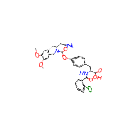 COc1cc2c(cc1OC)CN(C(=O)Oc1ccc(C[C@H](NC(=O)c3ccccc3Cl)C(=O)O)cc1)C(CC#N)C2